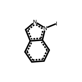 In1ncc2ccccc21